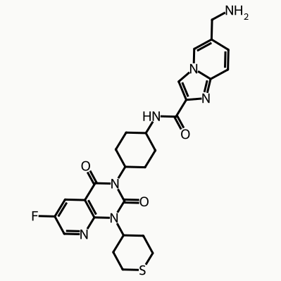 NCc1ccc2nc(C(=O)NC3CCC(n4c(=O)c5cc(F)cnc5n(C5CCSCC5)c4=O)CC3)cn2c1